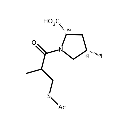 CC(=O)SCC(C)C(=O)N1C[C@@H](I)C[C@H]1C(=O)O